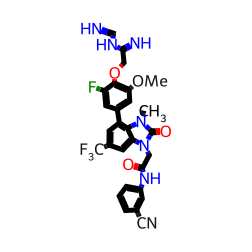 COc1cc(-c2cc(C(F)(F)F)cc3c2n(C)c(=O)n3CC(=O)Nc2cccc(C#N)c2)cc(F)c1OCC(=N)NC=N